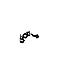 CN(C)C1(c2cccs2)CCC2(CCN(CCC3CCC3)C2)CC1